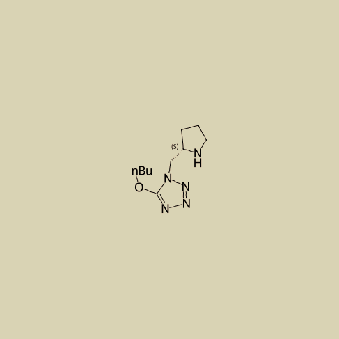 CCCCOc1nnnn1C[C@@H]1CCCN1